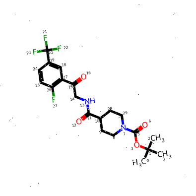 CC(C)(C)OC(=O)N1CCC(C(=O)NCC(=O)c2cc(C(F)(F)F)ccc2F)CC1